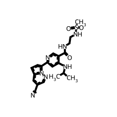 CC(C)Nc1cc(-c2ccc3cc(C#N)cnn23)ncc1C(=O)NCCNS(C)(=O)=O